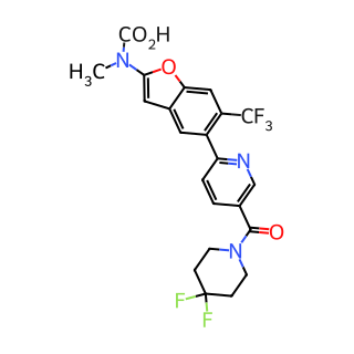 CN(C(=O)O)c1cc2cc(-c3ccc(C(=O)N4CCC(F)(F)CC4)cn3)c(C(F)(F)F)cc2o1